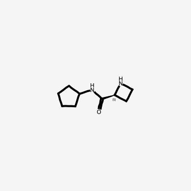 O=C(NC1CCCC1)[C@@H]1CCN1